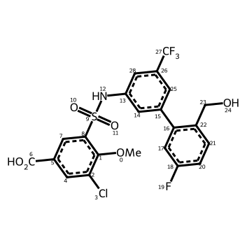 COc1c(Cl)cc(C(=O)O)cc1S(=O)(=O)Nc1cc(-c2cc(F)ccc2CO)cc(C(F)(F)F)c1